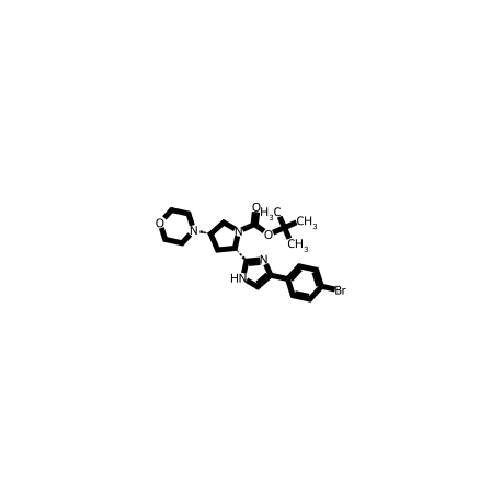 CC(C)(C)OC(=O)N1C[C@@H](N2CCOCC2)C[C@H]1c1nc(-c2ccc(Br)cc2)c[nH]1